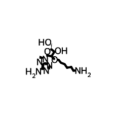 NCCCCCCOC1C(O)[C@@H](CO)O[C@H]1n1cnc2c(N)ncnc21